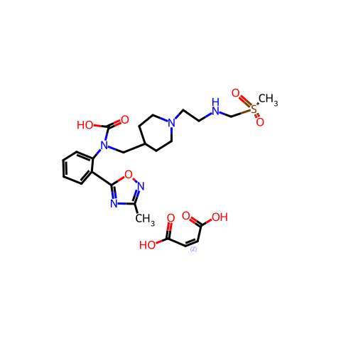 Cc1noc(-c2ccccc2N(CC2CCN(CCNCS(C)(=O)=O)CC2)C(=O)O)n1.O=C(O)/C=C\C(=O)O